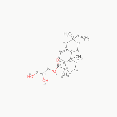 C=CC1(C)CCC2C(=CCC3C(C)(C(=O)OCC(O)CO)CCCC23C)C1